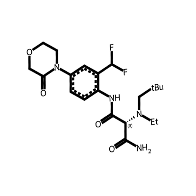 CCN(CC(C)(C)C)[C@H](C(N)=O)C(=O)Nc1ccc(N2CCOCC2=O)cc1C(F)F